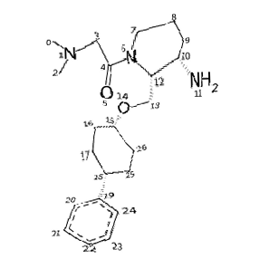 CN(C)CC(=O)N1CCC[C@H](N)[C@@H]1CO[C@H]1CC[C@@H](c2ccccc2)CC1